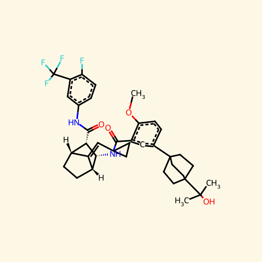 COc1ccc(C23CCC(C(C)(C)O)(CC2)CC3)cc1C(=O)N[C@H]1[C@@H](C(=O)Nc2ccc(F)c(C(F)(F)F)c2)[C@H]2CC[C@@H]1/C2=C\C1CC1